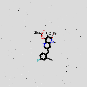 CCOC(=O)c1c(OC(=O)C(C)(C)C)c2ncc(Cc3ccc(F)cc3C(C)=O)cc2n(C)c1=O